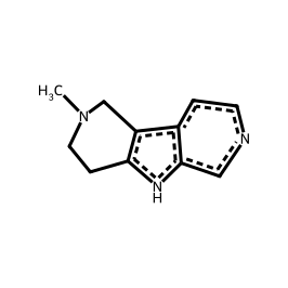 CN1CCc2[nH]c3cnccc3c2C1